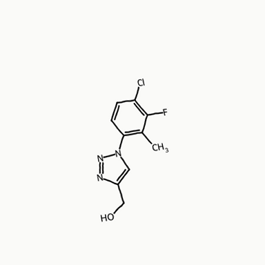 Cc1c(-n2cc(CO)nn2)ccc(Cl)c1F